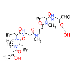 CC(C)CC(C(=O)NCC(C=O)COCCO)N(C)C(=O)CCCN(C)C(=O)CCNC(=O)C(CC(C)C)N(C)C(=O)C(CC(C)C)N(C)C(=O)C[C@@H](C)O